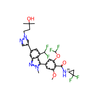 COc1cc(-c2c3c(C(F)F)cc(-c4cnn(CCC(C)(C)O)c4)cc3nn2C)cc(OC(F)F)c1C(=O)N[C@@H]1CC1(F)F